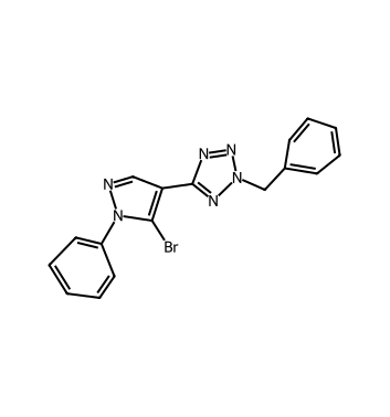 Brc1c(-c2nnn(Cc3ccccc3)n2)cnn1-c1ccccc1